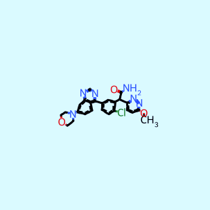 COc1ccc(C(C(N)=O)c2cc(-c3ncnc4cc(N5CCOCC5)ccc34)ccc2Cl)nn1